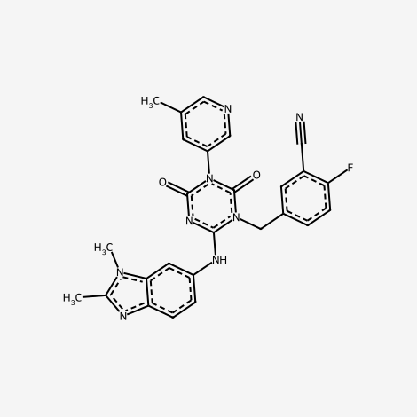 Cc1cncc(-n2c(=O)nc(Nc3ccc4nc(C)n(C)c4c3)n(Cc3ccc(F)c(C#N)c3)c2=O)c1